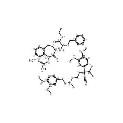 CCOC(=O)[C@H](CCc1ccccc1)N[C@H]1CCc2ccccc2N(CC(=O)O)C1=O.COc1ccc(CCN(C)CCCC(C#N)(c2ccc(OC)c(OC)c2)C(C)C)cc1OC.Cl